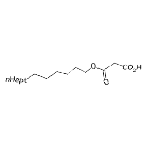 CCCCCCCCCCCCCOC(=O)CC(=O)O